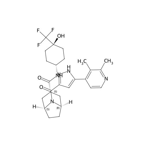 Cc1nccc(-c2cc(C(=O)N3[C@@H]4CC[C@H]3C[C@H](C(=O)N[C@H]3CC[C@@](O)(C(F)(F)F)CC3)C4)n[nH]2)c1C